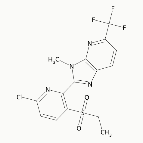 CCS(=O)(=O)c1ccc(Cl)nc1-c1nc2ccc(C(F)(F)F)nc2n1C